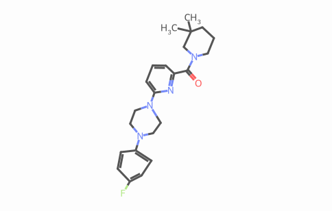 CC1(C)CCCN(C(=O)c2cccc(N3CCN(c4ccc(F)cc4)CC3)n2)C1